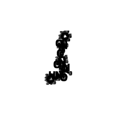 Cc1nc(-n2ccc(OCN3COC(c4ccccc4)=N3)cc2=O)sc1C(=O)NCc1ccccc1